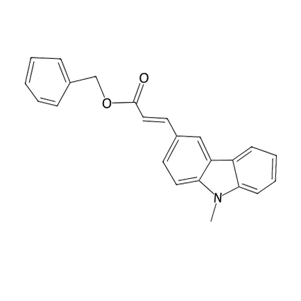 Cn1c2ccccc2c2cc(/C=C/C(=O)OCc3ccccc3)ccc21